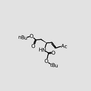 CCCCOC(=O)C[C@@H](/C=C/C(C)=O)NC(=O)OC(C)(C)C